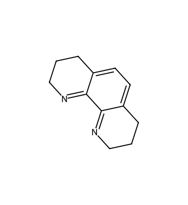 c1cc2c(c3c1CCCN=3)=NCCC2